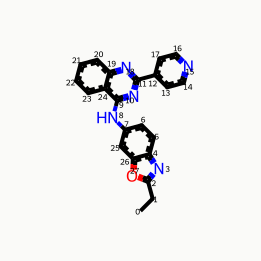 CCc1nc2ccc(Nc3nc(-c4ccncc4)nc4ccccc34)cc2o1